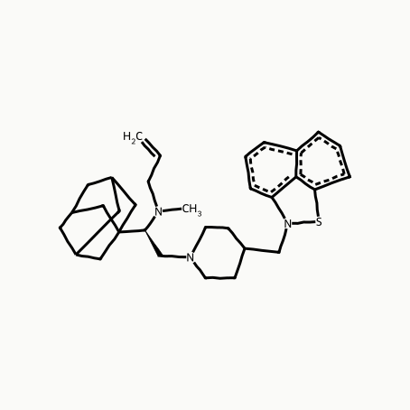 C=CCN(C)[C@@H](CN1CCC(CN2Sc3cccc4cccc2c34)CC1)C12CC3CC(CC(C3)C1)C2